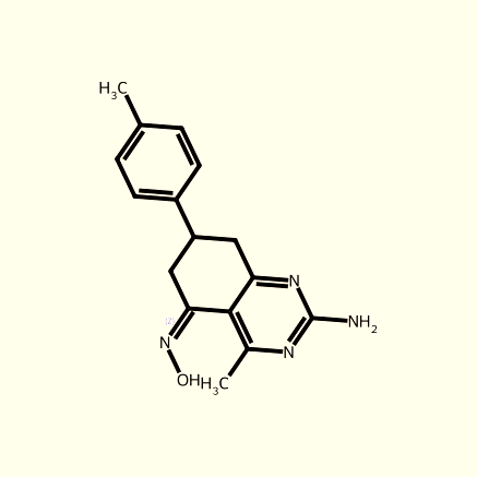 Cc1ccc(C2C/C(=N/O)c3c(C)nc(N)nc3C2)cc1